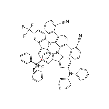 N#Cc1ccccc1-c1ccc(-c2ccccc2C#N)c(-n2c3ccc(C(F)(F)F)cc3c3cc(C(F)(F)F)ccc32)c1-n1c2ccc(N(c3ccccc3)c3ccccc3)cc2c2cc(N(c3ccccc3)c3ccccc3)ccc21